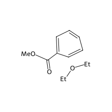 CCOCC.COC(=O)c1ccccc1